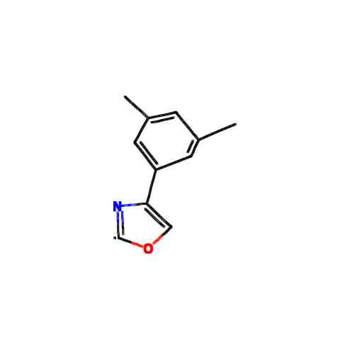 Cc1cc(C)cc(-c2co[c]n2)c1